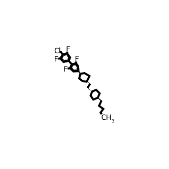 CCCCC[C@H]1CC[C@H](CC[C@H]2CC[C@H](c3cc(F)c(-c4cc(F)c(Cl)c(F)c4)c(F)c3)CC2)CC1